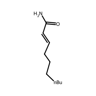 CCCCCCCC=CC(N)=O